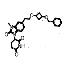 Cn1c(=O)n(C2CCC(=O)NC2=O)c2ccc(CCOC3CC(OCc4ccccc4)C3)cc21